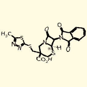 Cc1nnc(SCC2(C(=O)O)CS[C@@H]3C(N4C(=O)c5ccccc5C4=O)C(=O)N3C2)s1